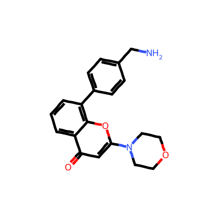 NCc1ccc(-c2cccc3c(=O)cc(N4CCOCC4)oc23)cc1